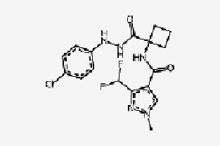 Cn1cc(C(=O)NC2(C(=O)NNc3ccc(Cl)cc3)CCC2)c(C(F)F)n1